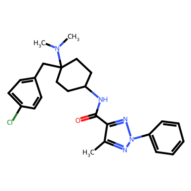 Cc1nn(-c2ccccc2)nc1C(=O)NC1CCC(Cc2ccc(Cl)cc2)(N(C)C)CC1